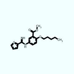 CCCCCOc1ccc(NC(=N)c2cccs2)cc1C(=O)OC